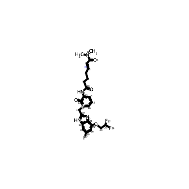 CN(C)C(=O)/C=C/CCCC(=O)Nc1cccn(Cc2nc3c(OCC(F)F)cc(F)cc3[nH]2)c1=O